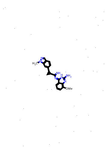 COc1cccc2/c(=N/C(=N)C3CC3c3ccc4cnn(C)c4c3)[nH]c(N)nc12